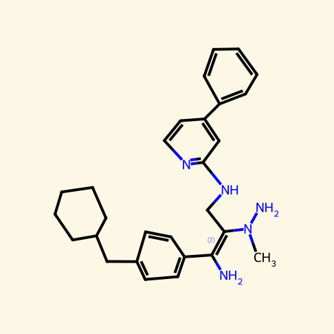 CN(N)/C(CNc1cc(-c2ccccc2)ccn1)=C(\N)c1ccc(CC2CCCCC2)cc1